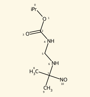 CC(C)OC(=O)NCNC(C)(C)N=O